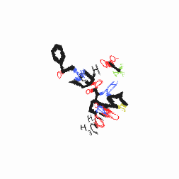 COC(=O)c1sccc1NC(C(=O)O[C@H]1C[N+]2(CC(=O)c3ccccc3)CCC1CC2)c1ccc(OC)nc1.O=C([O-])C(F)(F)F